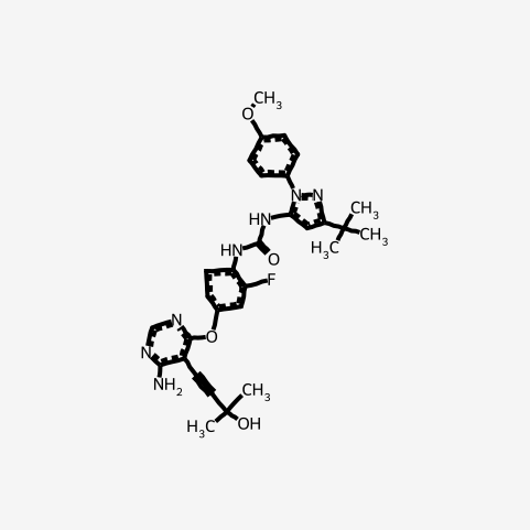 COc1ccc(-n2nc(C(C)(C)C)cc2NC(=O)Nc2ccc(Oc3ncnc(N)c3C#CC(C)(C)O)cc2F)cc1